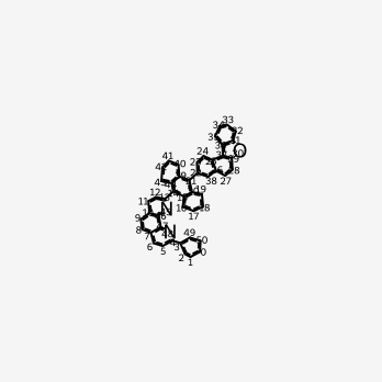 c1ccc(-c2ccc3ccc4ccc(-c5c6ccccc6c(-c6ccc7c(ccc8oc9ccccc9c87)c6)c6ccccc56)nc4c3n2)cc1